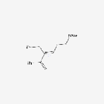 C=C(/C(=C/CCNC)CC(C)C)C(C)C